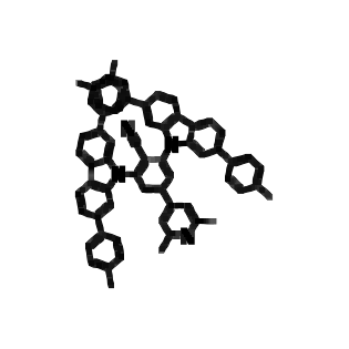 Cc1ccc(-c2ccc3c4ccc(-c5ccc(C)cc5)cc4n(-c4cc(-c5cc(C)nc(C)c5)cc(-n5c6cc(-c7ccc(C)cc7)ccc6c6ccc(-c7ccc(C)cc7)cc65)c4C#N)c3c2)cc1